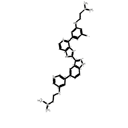 CN(C)CCNc1cc(F)cc(-c2nccc3[nH]c(-c4n[nH]c5ccc(-c6cncc(OCCN(C)C)c6)cc45)nc23)c1